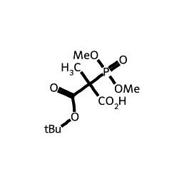 COP(=O)(OC)C(C)(C(=O)O)C(=O)OC(C)(C)C